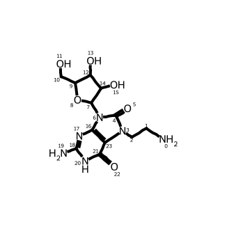 NCCn1c(=O)n(C2OC(CO)C(O)C2O)c2nc(N)[nH]c(=O)c21